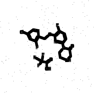 O=C(O)C(F)(F)F.O=C1CNCCN1c1ccc(F)c(OCc2ccc(Cl)cc2F)n1